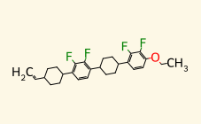 C=CC1CCC(c2ccc(C3CCC(c4ccc(OCC)c(F)c4F)CC3)c(F)c2F)CC1